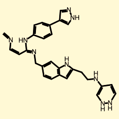 C=N/C=C\C(=N/Cc1ccc2cc(CCNC3=CNNC=C3)[nH]c2c1)Nc1ccc(-c2cn[nH]c2)cc1